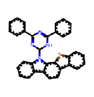 c1ccc(C2=NC(n3c4ccccc4c4ccc5c6ccccc6sc5c43)NC(c3ccccc3)=N2)cc1